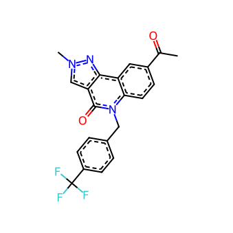 CC(=O)c1ccc2c(c1)c1nn(C)cc1c(=O)n2Cc1ccc(C(F)(F)F)cc1